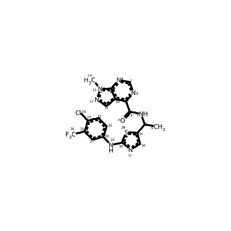 CC(NC(=O)c1ncnc2c1cnn2C)c1cnc(Nc2ccc(Cl)c(C(F)(F)F)c2)s1